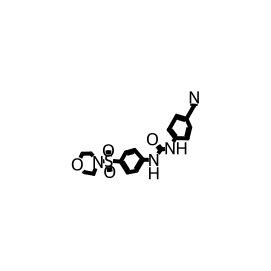 N#Cc1ccc(NC(=O)Nc2ccc(S(=O)(=O)N3CCOCC3)cc2)cc1